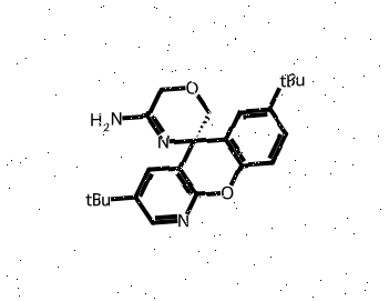 CC(C)(C)c1ccc2c(c1)[C@@]1(COCC(N)=N1)c1cc(C(C)(C)C)cnc1O2